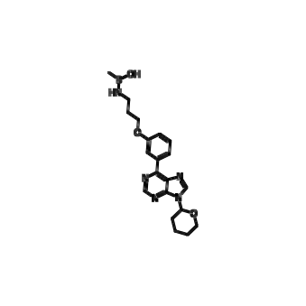 CB(O)NCCCOc1cccc(-c2ncnc3c2ncn3C2CCCCO2)c1